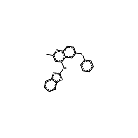 Cc1cc(Nc2nc3ccccc3o2)c2cc(Oc3ccccc3)ccc2n1